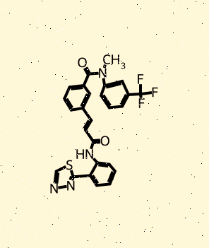 CN(C(=O)c1cccc(/C=C/C(=O)Nc2ccccc2-c2nncs2)c1)c1cccc(C(F)(F)F)c1